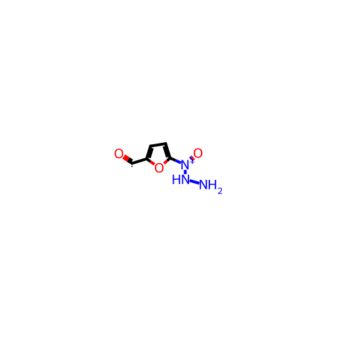 NN[N+](=O)c1ccc([C]=O)o1